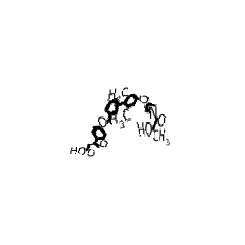 Cc1cc(OC2CN(C(=O)[C@H](C)O)C2)cc(C)c1-c1cccc(COc2ccc3c(c2)OC[C@H]3CC(=O)O)c1